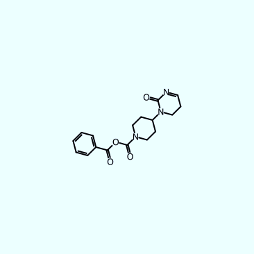 O=C(OC(=O)N1CCC(N2CCC=NC2=O)CC1)c1ccccc1